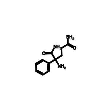 NC(=O)CCC(N)(C(N)=O)c1ccccc1